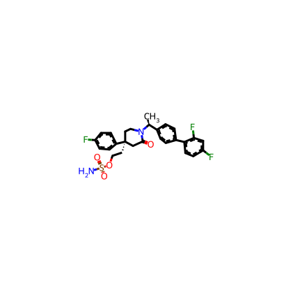 C[C@@H](c1ccc(-c2ccc(F)cc2F)cc1)N1CC[C@](CCOS(N)(=O)=O)(c2ccc(F)cc2)CC1=O